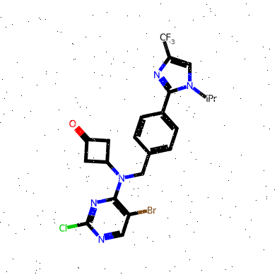 CC(C)n1cc(C(F)(F)F)nc1-c1ccc(CN(c2nc(Cl)ncc2Br)C2CC(=O)C2)cc1